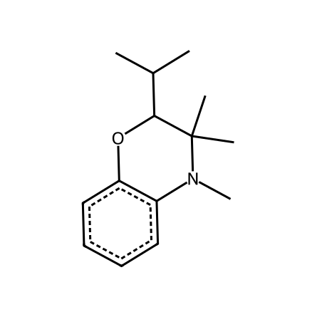 CC(C)C1Oc2ccccc2N(C)C1(C)C